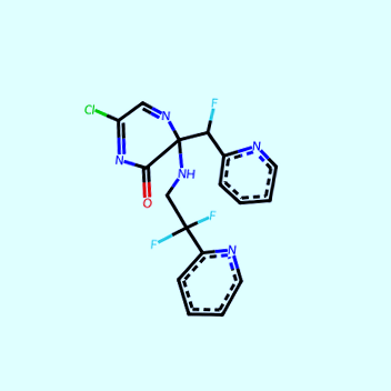 O=C1N=C(Cl)C=NC1(NCC(F)(F)c1ccccn1)C(F)c1ccccn1